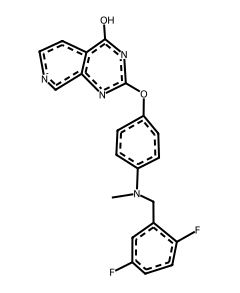 CN(Cc1cc(F)ccc1F)c1ccc(Oc2nc(O)c3ccncc3n2)cc1